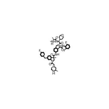 CN[C@@H](C)C(=O)NC(C(=O)N1Cc2ccc(NC(=O)[C@]3(C)CN(C(=O)CN4CCNC(C)C4)c4cc(Cc5ccc(F)cc5)ccc43)cc2C1C(=O)Nc1c(F)cccc1F)C1CCOCC1